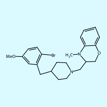 COc1ccc(Br)c(CC2CCN(CC3COc4ccccc4N3C)CC2)c1